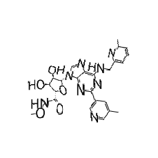 CONC(=O)[C@H]1O[C@@H](n2cnc3c(NCc4cccc(C)n4)nc(-c4cncc(C)c4)nc32)[C@H](O)[C@@H]1O